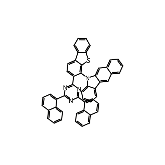 c1ccc2cc3c(cc2c1)c1ccccc1n3-c1c(-c2nc(-c3cccc4ccccc34)nc(-c3cccc4ccccc34)n2)ccc2c1sc1ccccc12